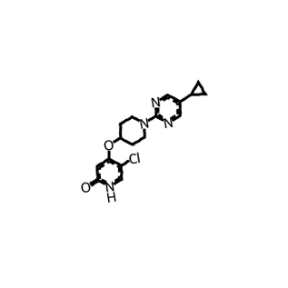 O=c1cc(OC2CCN(c3ncc(C4CC4)cn3)CC2)c(Cl)c[nH]1